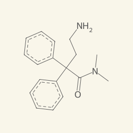 CN(C)C(=O)C(CCN)(c1ccccc1)c1ccccc1